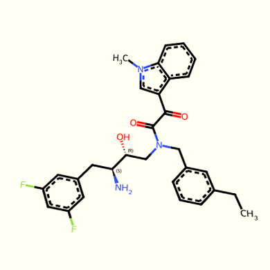 CCc1cccc(CN(C[C@@H](O)[C@@H](N)Cc2cc(F)cc(F)c2)C(=O)C(=O)c2cn(C)c3ccccc23)c1